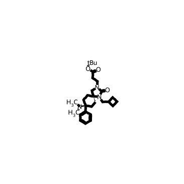 CN(C)[C@]1(c2ccccc2)CC[C@]2(CC1)CN(CCC(=O)OC(C)(C)C)C(=O)N2CC1CCC1